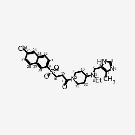 CCN(Cc1[nH]cnc1C)C1CCN(C(=O)CCS(=O)(=O)c2ccc3cc(Cl)ccc3c2)CC1